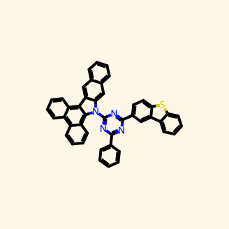 c1ccc(-c2nc(-c3ccc4sc5ccccc5c4c3)nc(-n3c4cc5ccccc5cc4c4c5ccccc5c5ccccc5c43)n2)cc1